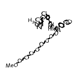 COCCOCCOCCOCCOCCOCCOCCOCCOc1nn(C2CCC(N3CCOCC3)CC2)cc1Nc1ncc(-c2ccc(Cl)c(O[C@@H](C)Cn3cncn3)c2)cn1